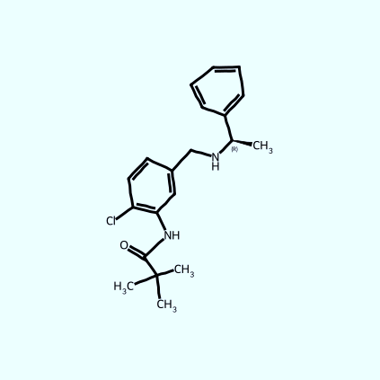 C[C@@H](NCc1ccc(Cl)c(NC(=O)C(C)(C)C)c1)c1ccccc1